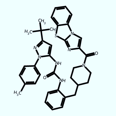 Cc1ccc(-n2nc(C(C)(C)C)cc2NC(=O)Nc2ccccc2CC2CCN(C(=O)c3cn4c(n3)sc3ccccc34)CC2)cc1